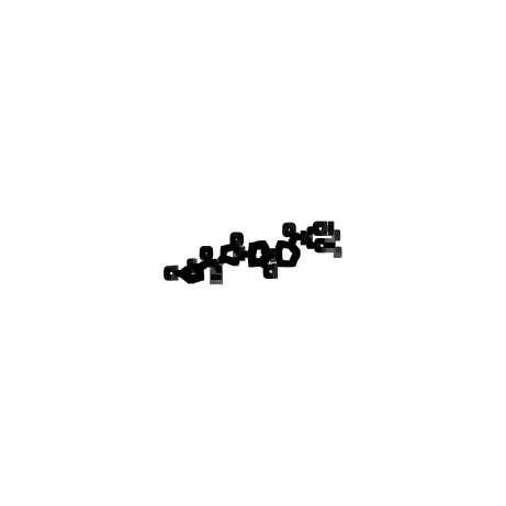 CCN(CC)C(=O)C1CCCN(c2ccc(N3CC(NC(=O)c4ccc(Cl)s4)CC3=O)cc2Cl)C1